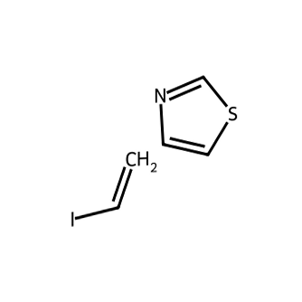 C=CI.c1cscn1